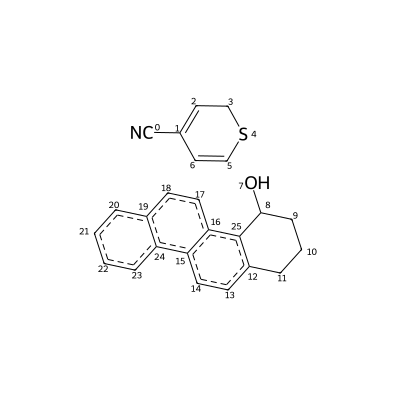 N#CC1=CCSC=C1.OC1CCCc2ccc3c(ccc4ccccc43)c21